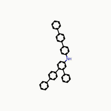 c1ccc(-c2ccc(-c3ccc(Nc4ccc(-c5ccc(-c6ccccc6)cc5)c(-c5ccccc5)c4)cc3)cc2)cc1